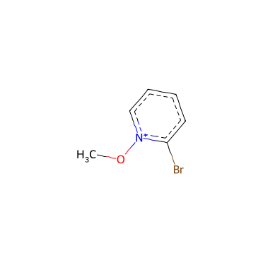 CO[n+]1ccccc1Br